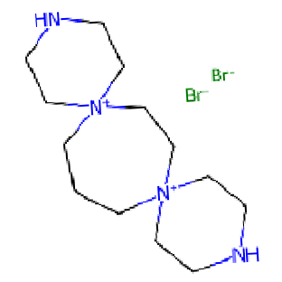 C1C[N+]2(CCNCC2)CC[N+]2(C1)CCNCC2.[Br-].[Br-]